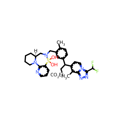 CCOC(=O)CC(c1ccc(C)c(CN2C[C@@H]3CCCCN3c3ncccc3S2(O)O)c1)c1ccn2c(C(F)F)nnc2c1C